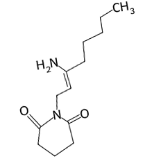 CCCCCC(N)=CCN1C(=O)CCCC1=O